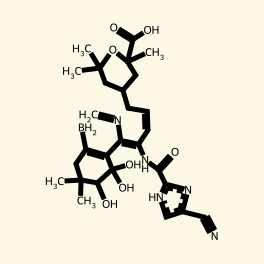 BC1=C(/C(N=C)=C(/C=C\CC2CC(C)(C)OC(C)(C(=O)O)C2)NC(=O)c2nc(C#N)c[nH]2)C(O)(O)C(O)C(C)(C)C1